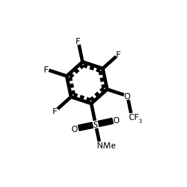 CNS(=O)(=O)c1c(F)c(F)c(F)c(F)c1OC(F)(F)F